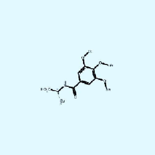 CCCOc1cc(C(=O)N[C@H](C(=O)O)[C@@H](C)CC)cc(OCC)c1OCCC